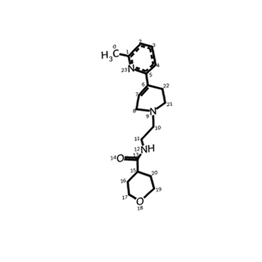 Cc1cccc(C2=CCN(CCNC(=O)C3CCOCC3)CC2)n1